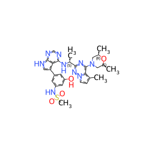 Cc1ccn2nc([C@H](C)Nc3ncnc4[nH]cc(-c5cc(O)cc(NS(C)(=O)=O)c5)c34)nc(N3C[C@@H](C)O[C@@H](C)C3)c12